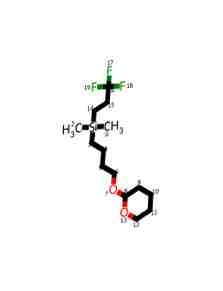 C[Si](C)(CCCCOC1CCCCO1)CCC(F)(F)F